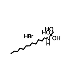 Br.CCCCCCCCCCCCNC(O)(O)CO